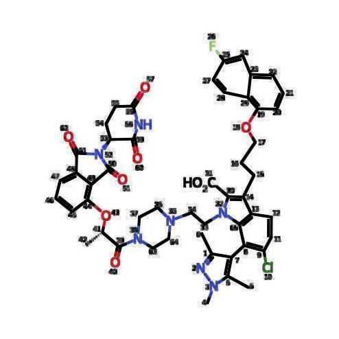 Cc1nn(C)c(C)c1-c1c(Cl)ccc2c(CCCOc3cccc4cc(F)ccc34)c(C(=O)O)n(CCN3CCN(C(=O)[C@H](C)Oc4cccc5c4C(=O)N([C@H]4CCC(=O)NC4=O)C5=O)CC3)c12